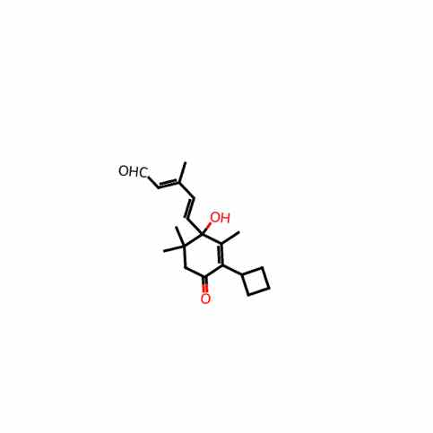 CC(C=CC1(O)C(C)=C(C2CCC2)C(=O)CC1(C)C)=CC=O